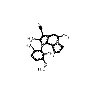 COc1ccc(C)c(-n2c(N)c(C#N)c3cc(C)n4ccnc4c32)c1C